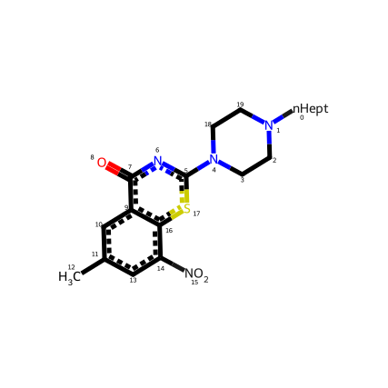 CCCCCCCN1CCN(c2nc(=O)c3cc(C)cc([N+](=O)[O-])c3s2)CC1